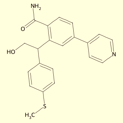 CSc1ccc(C(CO)c2cc(-c3ccncc3)ccc2C(N)=O)cc1